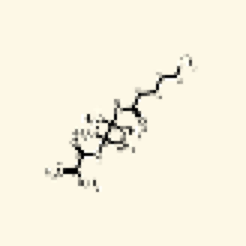 C=C(C)C(=O)OC(C)(C)C(C)(C)OC(=O)CCCCC